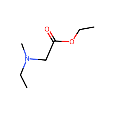 [CH2]CN(C)CC(=O)OCC